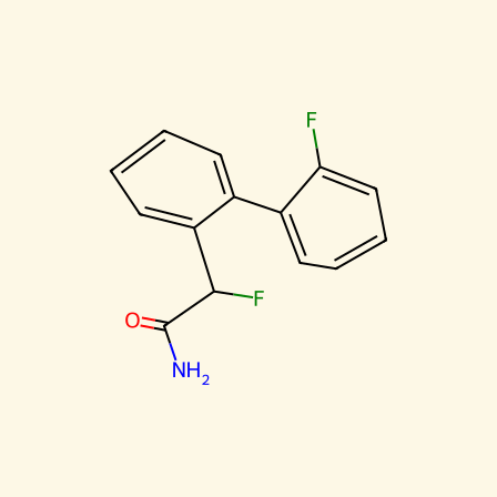 NC(=O)C(F)c1ccccc1-c1ccccc1F